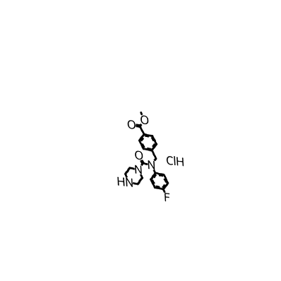 COC(=O)c1ccc(CN(C(=O)N2CCNCC2)c2ccc(F)cc2)cc1.Cl